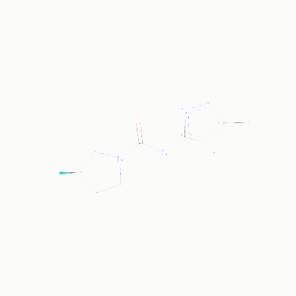 Cc1cnc(NC(=O)N2CC[C@@H](F)C2)s1